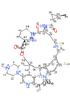 CCn1c(-c2cc(N3CCN(C)CC3)cnc2[C@H](C)OC)c2c3cc(c(F)cc31)-c1csc(n1)C[C@H](NC(=O)[C@@H]1C[C@H]1C)C(=O)N1CCC[C@H](N1)C(=O)OCC(C)(C)C2